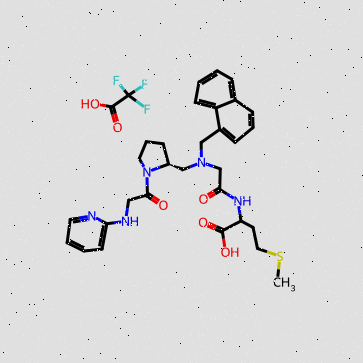 CSCCC(NC(=O)CN(Cc1cccc2ccccc12)C[C@@H]1CCCN1C(=O)CNc1ccccn1)C(=O)O.O=C(O)C(F)(F)F